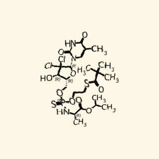 Cc1cn([C@@H]2O[C@H](CO[P@@](=S)(N[C@H](C)C(=O)OC(C)C)OCCSC(=O)C(C)(C)C)[C@@H](O)C2(Cl)Cl)c(=O)[nH]c1=O